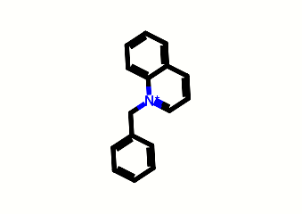 c1ccc(C[n+]2cccc3ccccc32)cc1